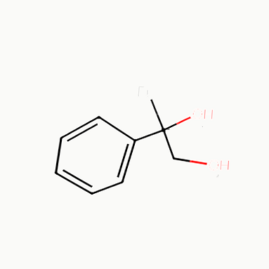 CCC(O)(CO)c1ccccc1